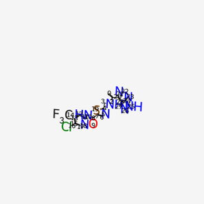 C=C(NCc1ncc(C(=O)Nc2cc(C(F)(F)F)c(Cl)cn2)s1)c1ncnc2[nH]ncc12